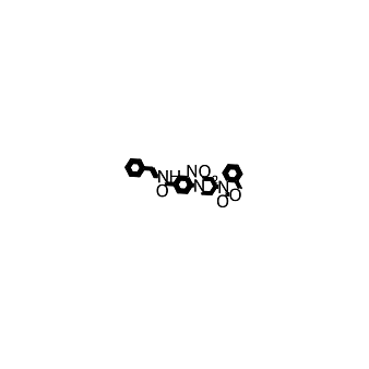 O=C(NC=Cc1ccccc1)c1ccc(N2CCC(N3C(=O)OCc4ccccc43)CC2)c([N+](=O)[O-])c1